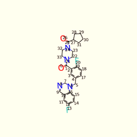 O=C(c1cc(CN2CN=Cc3cc(F)ccc32)ccc1F)N1CCN(C(=O)C2CCCC2)CC1